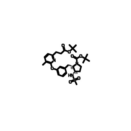 Cc1ccc(CCC(=O)OC(C)(C)C)nc1Oc1cccc(C[C@H]2[C@@H](NS(C)(=O)=O)CCN2C(=O)OC(C)(C)C)c1